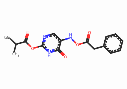 CC(C(=O)Oc1ncc(NOC(=O)Cc2ccccc2)c(=O)[nH]1)C(C)(C)C